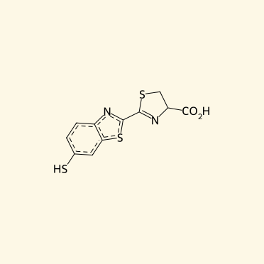 O=C(O)C1CSC(c2nc3ccc(S)cc3s2)=N1